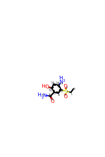 CCS(=O)(=O)c1cc(C(N)=O)c(O)cc1N